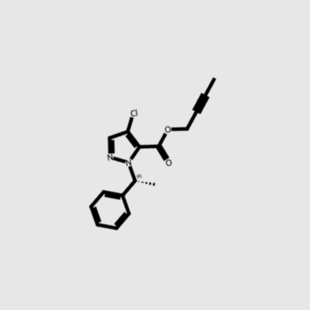 CC#CCOC(=O)c1c(Cl)cnn1[C@H](C)c1ccccc1